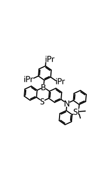 CC(C)c1cc(C(C)C)c(B2c3ccccc3Sc3cc(N4c5ccccc5[Si](C)(C)c5ccccc54)ccc32)c(C(C)C)c1